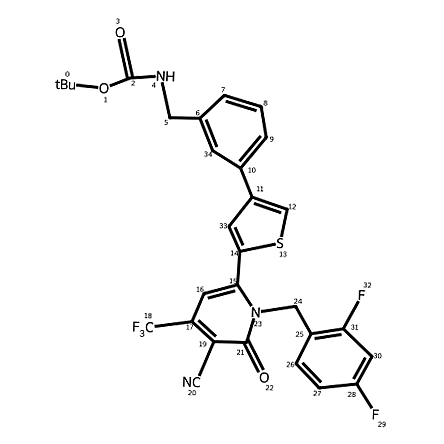 CC(C)(C)OC(=O)NCc1cccc(-c2csc(-c3cc(C(F)(F)F)c(C#N)c(=O)n3Cc3ccc(F)cc3F)c2)c1